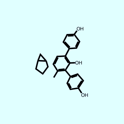 C1CC2CC2C1.Cc1ccc(-c2ccc(O)cc2)c(O)c1-c1ccc(O)cc1